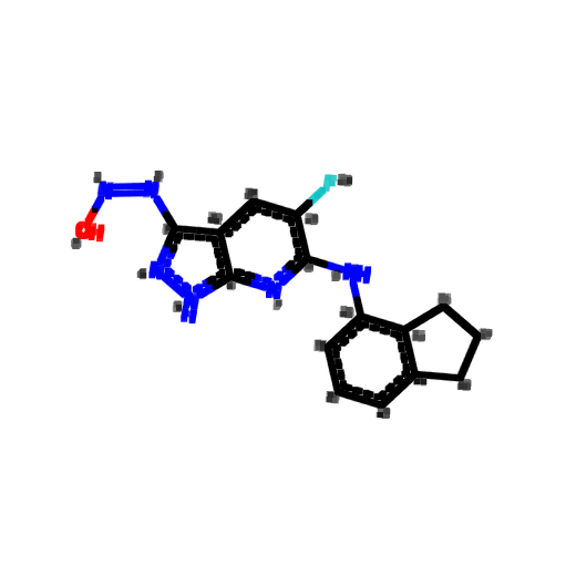 O/N=N\c1n[nH]c2nc(Nc3cccc4c3CCC4)c(F)cc12